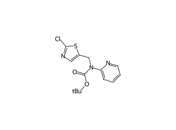 CC(C)(C)OC(=O)N(Cc1cnc(Cl)s1)c1ccccn1